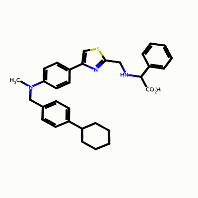 CN(Cc1ccc(C2CCCCC2)cc1)c1ccc(-c2csc(CNC(C(=O)O)c3ccccc3)n2)cc1